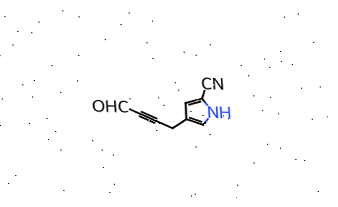 N#Cc1cc(CC#CC=O)c[nH]1